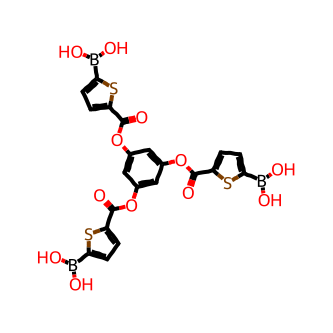 O=C(Oc1cc(OC(=O)c2ccc(B(O)O)s2)cc(OC(=O)c2ccc(B(O)O)s2)c1)c1ccc(B(O)O)s1